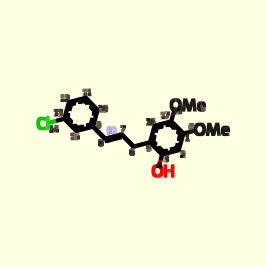 COc1cc(O)c(C/C=C/c2cccc(Cl)c2)cc1OC